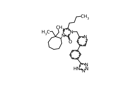 CCCCc1cn(C2CCCCCCC2(CC)CC)c(=O)n1Cc1cc(-c2cccc(-c3nnn[nH]3)c2)ccn1